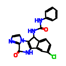 O=C(Nc1ccccc1)NC1c2ccc(Cl)cc2-c2[nH]c(=O)c3nccn3c21